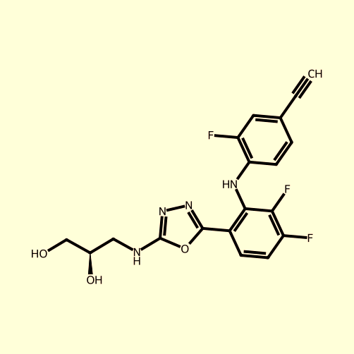 C#Cc1ccc(Nc2c(-c3nnc(NC[C@@H](O)CO)o3)ccc(F)c2F)c(F)c1